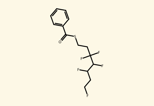 O=C(SCCC(F)(F)C(F)C(F)CCF)c1ccccc1